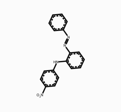 O=[N+]([O-])c1ccc(Nc2ccccc2N=Nc2ccccc2)cc1